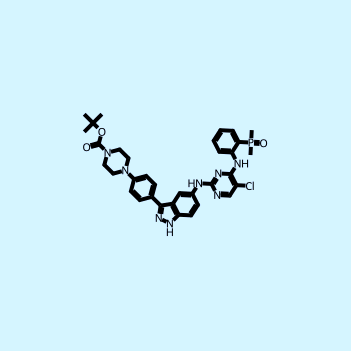 CC(C)(C)OC(=O)N1CCN(c2ccc(-c3n[nH]c4ccc(Nc5ncc(Cl)c(Nc6ccccc6P(C)(C)=O)n5)cc34)cc2)CC1